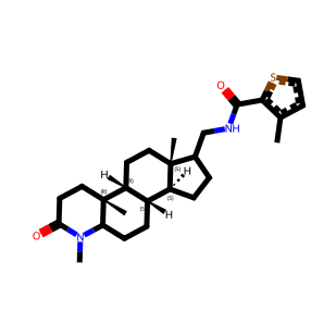 Cc1ccsc1C(=O)NCC1CC[C@H]2[C@@H]3CCC4N(C)C(=O)CC[C@]4(C)[C@@H]3CC[C@]12C